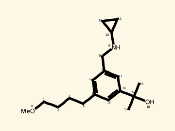 COCCCCc1cc(CNC2CC2)cc(C(C)(C)O)c1